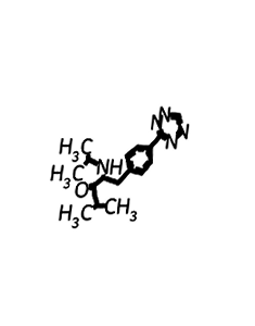 CC(C)NC(Cc1ccc(-c2nncnn2)cc1)C(=O)C(C)C